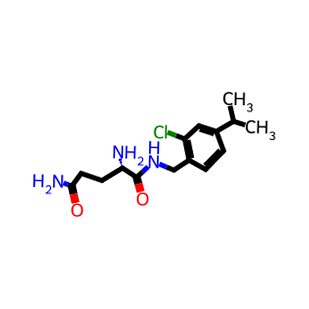 CC(C)c1ccc(CNC(=O)[C@@H](N)CCC(N)=O)c(Cl)c1